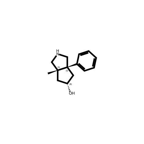 C[C@@]12CNC[C@]1(c1ccccc1)C[C@H](O)C2